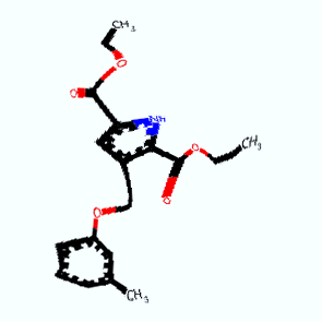 CCOC(=O)c1cc(COc2cccc(C)c2)c(C(=O)OCC)[nH]1